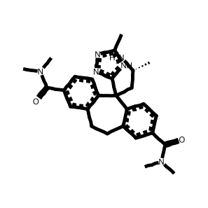 Cc1nnc(C2(C[C@@H](C)N)c3ccc(C(=O)N(C)C)cc3CCc3cc(C(=O)N(C)C)ccc32)[nH]1